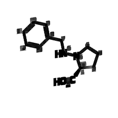 O=C(O)[C@@H]1CCCN1NCc1ccccc1